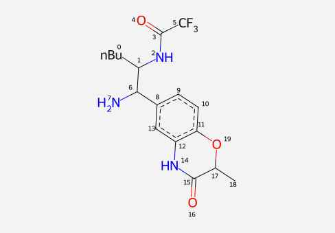 CCCCC(NC(=O)C(F)(F)F)C(N)c1ccc2c(c1)NC(=O)C(C)O2